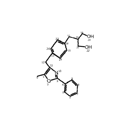 Cc1oc(-c2ccccc2)nc1Cc1ccc(CC(CO)CO)cc1